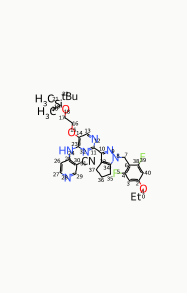 CCOc1cc(F)c(Cn2nc(-c3ncc(OCCO[Si](C)(C)C(C)(C)C)c(Nc4ccncc4C#N)n3)c3c2CCC3)c(F)c1